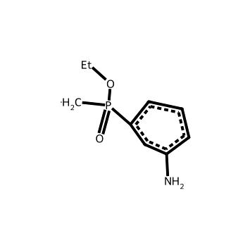 [CH2]P(=O)(OCC)c1cccc(N)c1